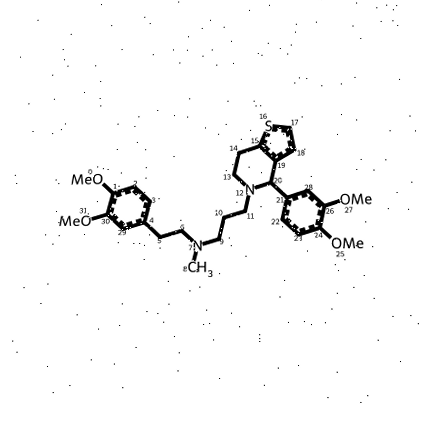 COc1ccc(CCN(C)CCCN2CCc3sccc3C2c2ccc(OC)c(OC)c2)cc1OC